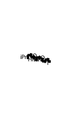 CC(CC(=O)NC(C)CC(C)NC(=O)CC(C)CC(C)C(C)I)CC(C)C(C)C